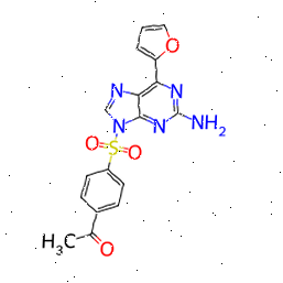 CC(=O)c1ccc(S(=O)(=O)n2cnc3c(-c4ccco4)nc(N)nc32)cc1